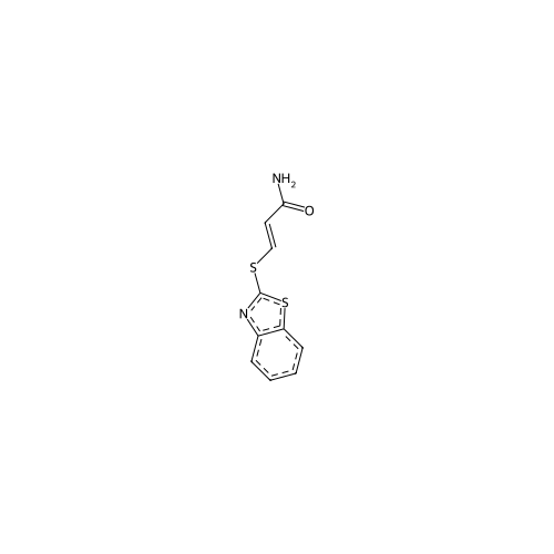 NC(=O)C=CSc1nc2ccccc2s1